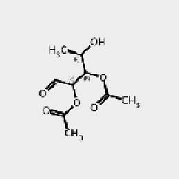 CC(=O)O[C@@H]([C@H](C=O)OC(C)=O)[C@@H](C)O